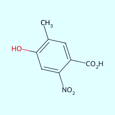 Cc1cc(C(=O)O)c([N+](=O)[O-])cc1O